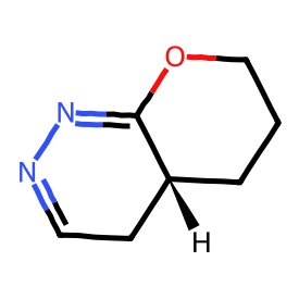 C1=NN=C2OCCC[C@@H]2C1